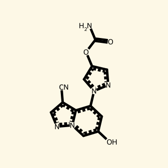 N#Cc1cnn2cc(O)cc(-n3cc(OC(N)=O)cn3)c12